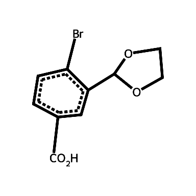 O=C(O)c1ccc(Br)c(C2OCCO2)c1